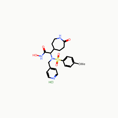 COc1ccc(S(=O)(=O)N(Cc2ccncc2)[C@@H](C(=O)NO)C2CCNC(=O)CC2)cc1.Cl